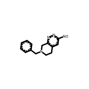 O=Nc1cc2c(nn1)CN(Cc1ccccc1)CC2